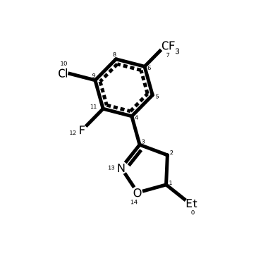 CCC1CC(c2cc(C(F)(F)F)cc(Cl)c2F)=NO1